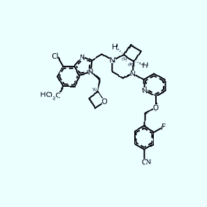 N#Cc1ccc(COc2cccc(N3CCN(Cc4nc5c(Cl)cc(C(=O)O)cc5n4C[C@@H]4CCO4)[C@H]4CC[C@H]43)n2)c(F)c1